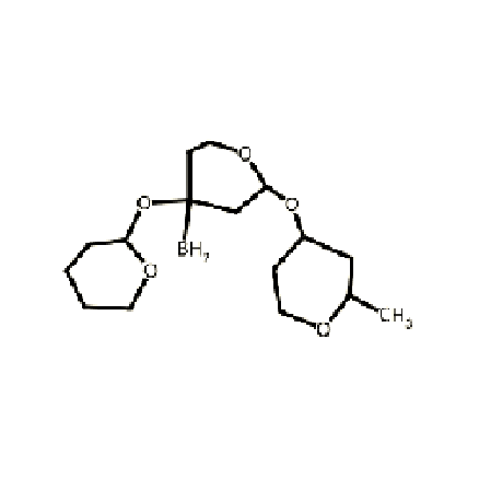 BC1(OC2CCCCO2)CCOC(OC2CCOC(C)C2)C1